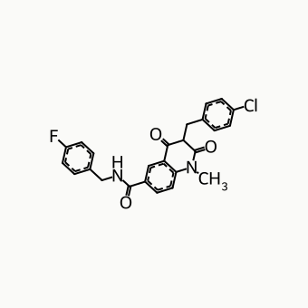 CN1C(=O)C(Cc2ccc(Cl)cc2)C(=O)c2cc(C(=O)NCc3ccc(F)cc3)ccc21